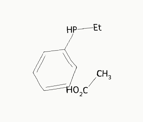 CC(=O)O.CCPc1ccccc1